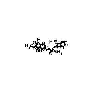 CCc1c(O)c2cc(/C=C/C(=O)N(C)Cc3oc4ccccc4c3C)cnc2[nH]c1=O